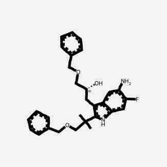 CC(C)(COCc1ccccc1)c1[nH]c2cc(F)c(N)cc2c1C[C@@H](O)COCc1ccccc1